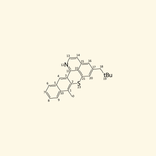 Cc1c2c(cc3ccccc13)-c1nccc3cc(CC(C)(C)C)cc(c13)S2